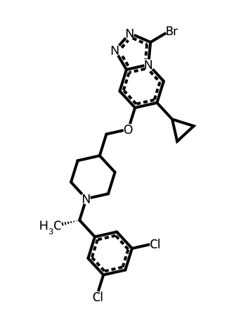 C[C@@H](c1cc(Cl)cc(Cl)c1)N1CCC(COc2cc3nnc(Br)n3cc2C2CC2)CC1